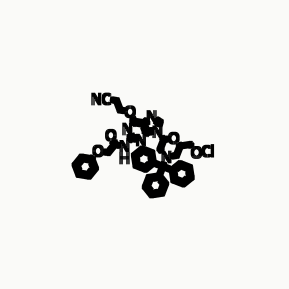 N#CCCOc1nc(NC(=O)COc2ccccc2)nc2c1ncn2C1CN(C(c2ccccc2)(c2ccccc2)c2ccccc2)CC(COCl)O1